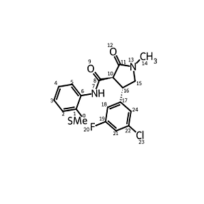 CSc1ccccc1NC(=O)[C@H]1C(=O)N(C)C[C@@H]1c1cc(F)cc(Cl)c1